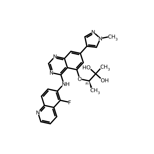 C[C@@H](Oc1cc(-c2cnn(C)c2)cc2ncnc(Nc3ccc4ncccc4c3F)c12)C(C)(O)O